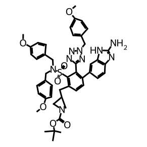 COc1ccc(CN(Cc2ccc(OC)cc2)S(=O)(=O)c2c(CC3CN(C(=O)OC(C)(C)C)C3)ccc(-c3ccc4nc(N)[nH]c4c3)c2-c2nnn(Cc3ccc(OC)cc3)n2)cc1